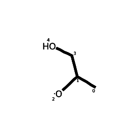 CC([O])CO